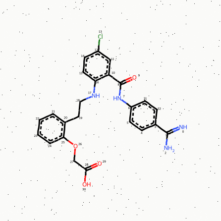 N=C(N)c1ccc(NC(=O)c2cc(Cl)ccc2NCCc2ccccc2OCC(=O)O)cc1